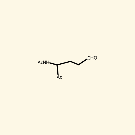 CC(=O)NC(CCC=O)C(C)=O